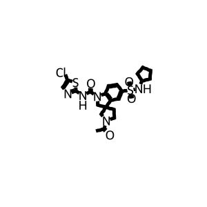 CC(=O)N1CCC2(C1)CN(C(=O)Nc1ncc(Cl)s1)c1ccc(S(=O)(=O)NC3CCCC3)cc12